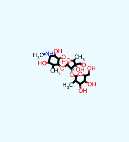 CNC1C(O)C(C)C(OC2OC(C)C(O)(C=O)[C@@H]2OC2OC(CO)C(O)C(O)C2C)C(O)C1O